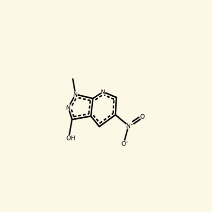 Cn1nc(O)c2cc([N+](=O)[O-])cnc21